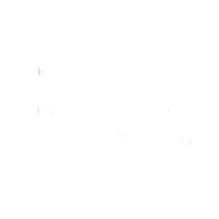 O=c1cc(-c2ccc(O)c(O)c2)oc2cccc(O)c12